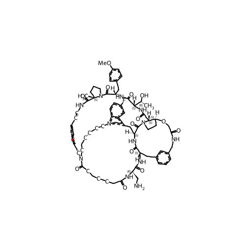 COc1ccc(C[C@@H]2NC(=O)[C@H]([C@@H](C)O)NC(=O)[C@@H]3[C@@H]4CCN3C(=O)[C@@H]3Cc5cn(c6ccc(F)cc56)CCCCCCN(Cc5ccc(cc5)CCNC(=O)[C@]5(C)CCCN5C2=O)C(=O)CCCCCC(=O)N[C@H](CN)C(=O)N[C@@H](Cc2cccc(c2)CNC(=O)CO4)C(=O)N3)cc1